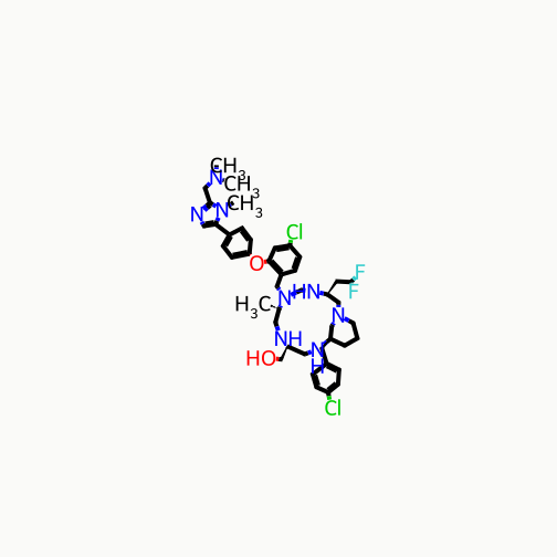 C[C@H]1CN[C@H](CO)CN[C@@]2(Cc3ccc(Cl)cc3)CCCN(C[C@H](CC(F)F)NCN1Cc1ccc(Cl)cc1Oc1ccc(-c3cnc(CN(C)C)n3C)cc1)C2